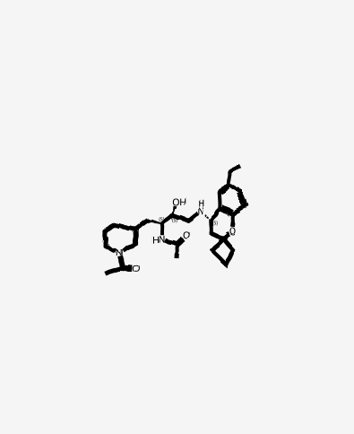 CCc1ccc2c(c1)[C@@H](NC[C@H](O)[C@H](CC1CCCN(C(C)=O)C1)NC(C)=O)CC1(CCC1)O2